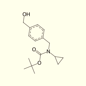 CC(C)(C)OC(=O)N(Cc1ccc(CO)cc1)C1CC1